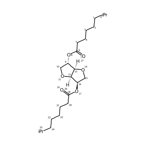 CC(C)CCCCCC(=O)O[C@H]1CO[C@H]2[C@@H]1OC[C@H]2OC(=O)CCCCCC(C)C